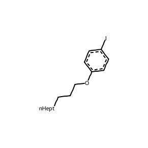 CCC[CH]CCCCCCOc1ccc(I)cc1